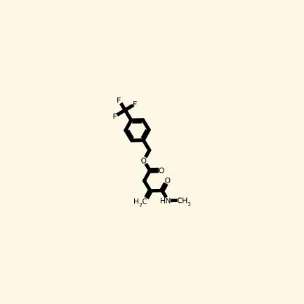 C=C(CC(=O)OCc1ccc(C(F)(F)F)cc1)C(=O)NC